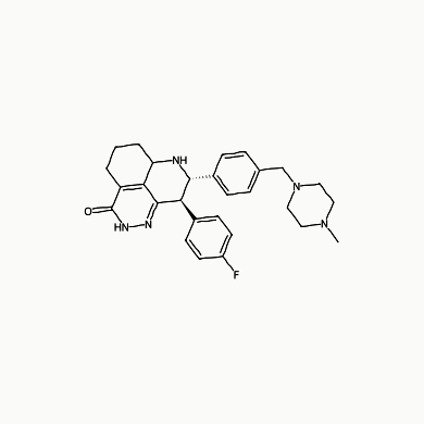 CN1CCN(Cc2ccc([C@H]3NC4CCCc5c4c(n[nH]c5=O)[C@@H]3c3ccc(F)cc3)cc2)CC1